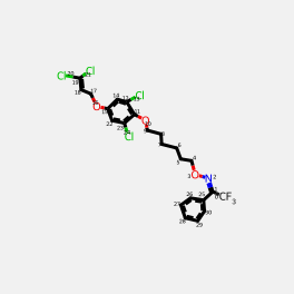 FC(F)(F)C(=NOCCCCCCOc1c(Cl)cc(OCC=C(Cl)Cl)cc1Cl)c1ccccc1